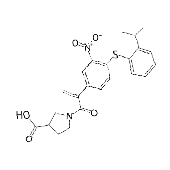 C=C(C(=O)N1CCC(C(=O)O)C1)c1ccc(Sc2ccccc2C(C)C)c([N+](=O)[O-])c1